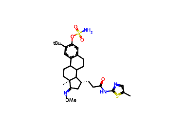 CO/N=C1\C[C@@H](CCC(=O)Nc2ncc(C)s2)C2C3CCc4cc(OS(N)(=O)=O)c(C(C)(C)C)cc4C3CC[C@]12C